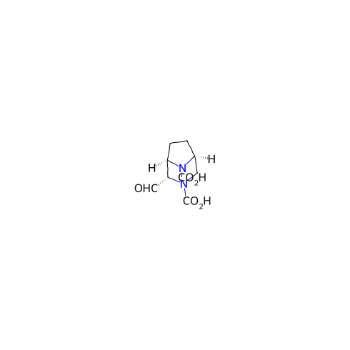 O=C[C@@H]1[C@H]2CC[C@@H](CN1C(=O)O)N2C(=O)O